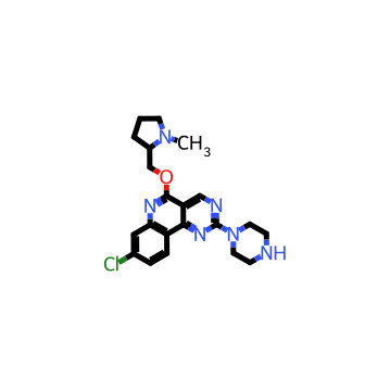 CN1CCCC1COc1nc2cc(Cl)ccc2c2nc(N3CCNCC3)ncc12